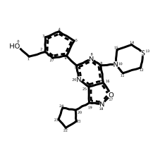 OCc1cccc(-c2nc(N3CCSCC3)c3onc(C4CCCC4)c3n2)c1